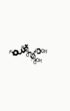 C[C@@H]1CN(CC(=O)N2CC(C)(C)c3ncc(Cc4ccc(F)cc4)cc32)[C@@H](CN2CCC(O)CC2)CN1C(=O)O